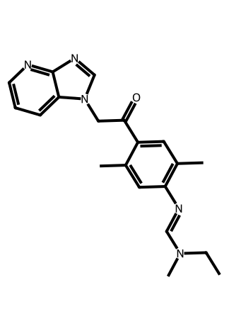 CCN(C)C=Nc1cc(C)c(C(=O)Cn2cnc3ncccc32)cc1C